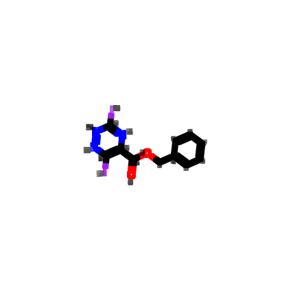 O=C(OCc1ccccc1)c1nc(I)nnc1I